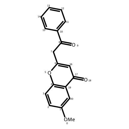 COc1ccc2oc(CC(=O)c3ccccc3)cc(=O)c2c1